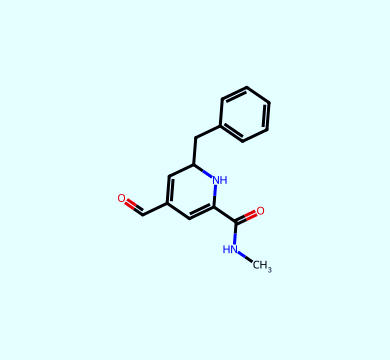 CNC(=O)C1=CC(C=O)=CC(Cc2ccccc2)N1